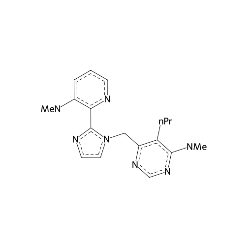 CCCc1c(Cn2ccnc2-c2ncccc2NC)ncnc1NC